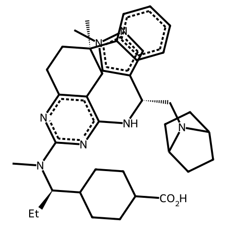 CC[C@H](C1CCC(C(=O)O)CC1)N(C)c1nc2c(c(N[C@@H](CN3C4CCC3CC4)c3cnn(C)c3)n1)C[C@](C)(c1ccccc1)CC2